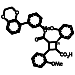 COc1ccccc1C1C(C(=O)O)[C@H](c2ccccc2OC)C1C(=O)Oc1cccc(-c2cccc3c2OCCO3)c1